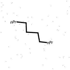 [CH2]CCCCCCCCC